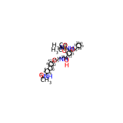 CC(=O)Nc1ccc2c(c1)Cc1cc(OCCNCC(O)c3ccc(OCc4ccccc4)c(NS(=O)(=O)N(C)C)c3)ccc1-2